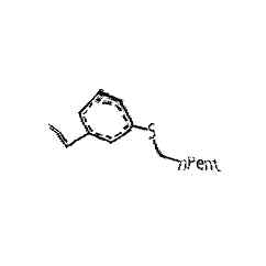 C=Cc1cccc(SCCCCCC)c1